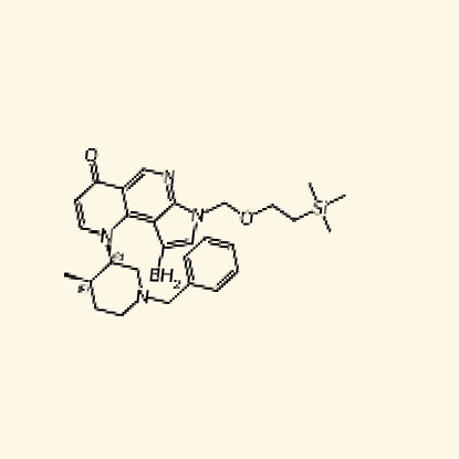 Bc1cn(COCC[Si](C)(C)C)c2ncc3c(=O)ccn([C@H]4CN(Cc5ccccc5)CC[C@H]4C)c3c12